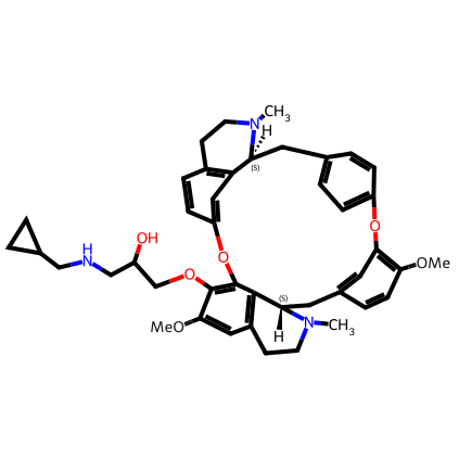 COc1ccc2cc1Oc1ccc(cc1)C[C@H]1c3cc(ccc3CCN1C)Oc1c(OCC(O)CNCC3CC3)c(OC)cc3c1[C@H](C2)N(C)CC3